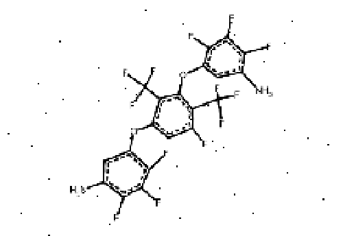 Nc1cc(Oc2cc(F)c(C(F)(F)F)c(Oc3cc(N)c(F)c(F)c3F)c2C(F)(F)F)c(F)c(F)c1F